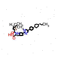 CCC[C@H]1CC[C@H](c2ccc(-c3cnc(-c4ccc(C[C@H](NC(=O)c5ccc(C(C)(C)C)s5)C(=O)O)cc4)nc3)cc2)CC1